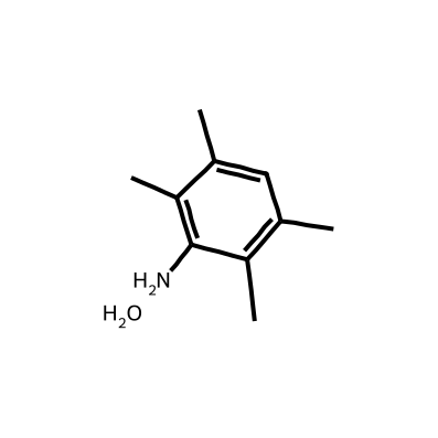 Cc1cc(C)c(C)c(N)c1C.O